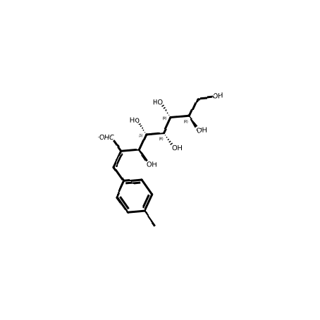 Cc1ccc(C=C([C]=O)C(O)[C@H](O)[C@@H](O)[C@H](O)[C@H](O)CO)cc1